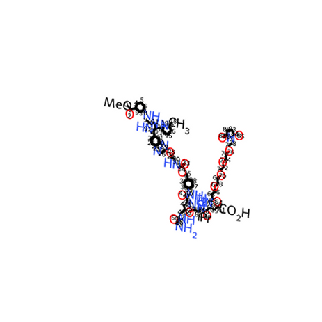 COC(=O)c1cccc(NCc2nc(-c3cccc(C)n3)c(-c3ccc4ncc(OCCNC(=O)OCc5ccc(NC(=O)[C@H](CCCNC(N)=O)NC(=O)[C@@H](NC(=O)[C@H](CCC(=O)O)NC(=O)CCOCCOCCOCCOCCN6C(=O)C=CC6=O)C(C)C)cc5)nc4c3)[nH]2)c1